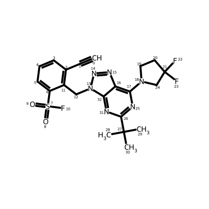 C#Cc1cccc(S(=O)(=O)F)c1Cn1nnc2c(N3CCC(F)(F)C3)nc(C(C)(C)C)nc21